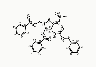 CC(=O)OC1S[C@H](COC(=O)c2ccccc2)[C@H](OC(=O)c2ccccc2)[C@H]1OC(=O)OCc1ccccc1